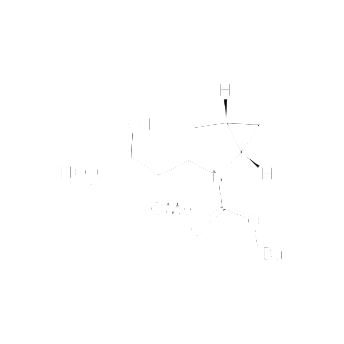 CO[C@H]([C@@H](C)C(=O)O)[C@@H]1C[C@@H]2C[C@@H]2N1C(=O)OC(C)(C)C